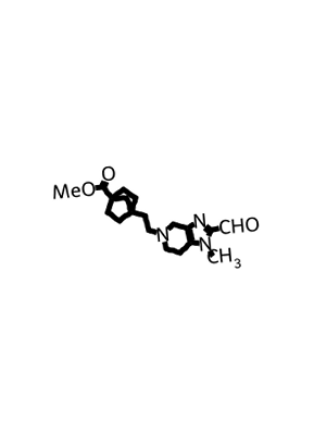 COC(=O)C12CCC(CCN3CCc4c(nc(C=O)n4C)C3)(CC1)C2